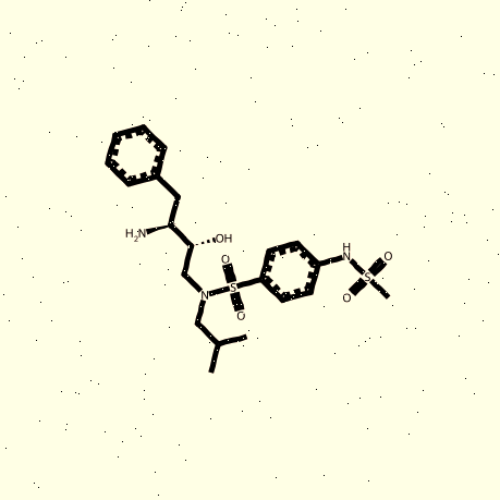 CC(C)CN(C[C@@H](O)[C@@H](N)Cc1ccccc1)S(=O)(=O)c1ccc(NS(C)(=O)=O)cc1